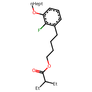 CCCCCCCOc1cccc(CCCCOC(=O)C(CC)CC)c1F